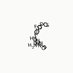 Nc1nc(NCCN2CCN(c3ccc(OC4CCSCC4)cc3F)CC2)nc2nc(-c3ccco3)nn12